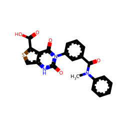 CN(C(=O)c1cccc(-n2c(=O)[nH]c3csc(C(=O)O)c3c2=O)c1)c1ccccc1